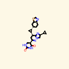 O=c1[nH]cc(-c2cc([C@H]3C[C@@H]3c3ccc4ncsc4c3)c3nc(C4CC4)cn3n2)c(=O)[nH]1